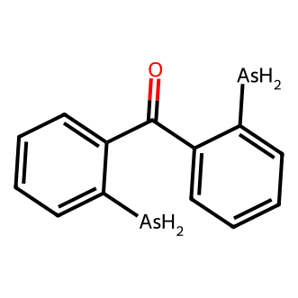 O=C(c1ccccc1[AsH2])c1ccccc1[AsH2]